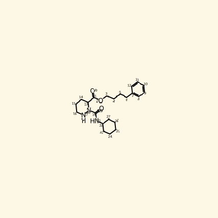 O=C(OCCCCc1ccccc1)C1CCCNN1C(=O)NC1CCCCC1